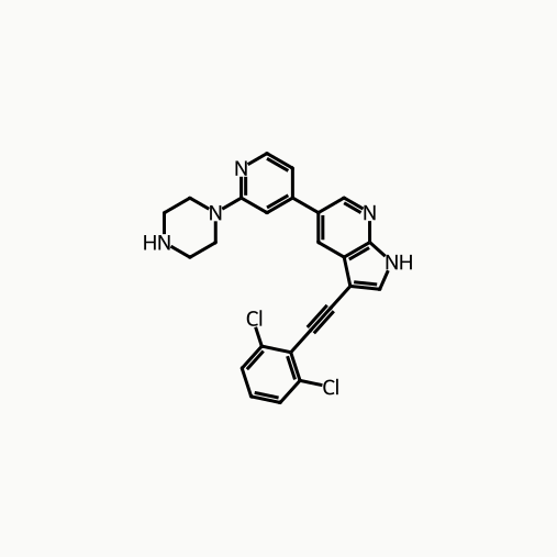 Clc1cccc(Cl)c1C#Cc1c[nH]c2ncc(-c3ccnc(N4CCNCC4)c3)cc12